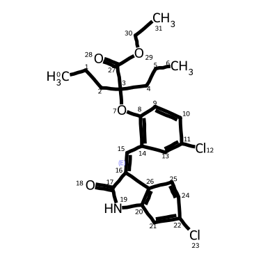 CCCC(CCC)(Oc1ccc(Cl)cc1/C=C1/C(=O)Nc2cc(Cl)ccc21)C(=O)OCC